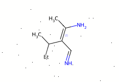 CCC(C)/C(C=N)=C(\C)N